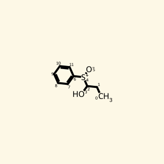 CCC(O)[S+]([O-])c1ccccc1